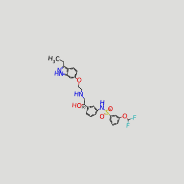 CCc1n[nH]c2cc(OCCNC[C@H](O)c3cccc(NS(=O)(=O)c4cccc(OC(F)F)c4)c3)ccc12